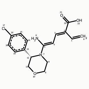 C=C/C(=C\C=C(/N)N1CCOC[C@@H]1c1ccc(Cl)cc1)C(=O)O